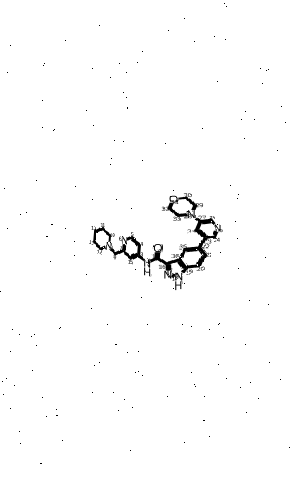 O=C(Nc1ccnc(CN2CCCCC2)c1)c1n[nH]c2ccc(-c3cncc(N4CCOCC4)c3)cc12